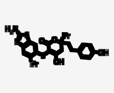 CC(C)c1cc2nc(N)sc2cc1SC1=C(O)CC(CCc2ccc(O)cc2)(C(C)C)OC1=O